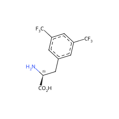 N[C@@H](Cc1cc(C(F)(F)F)cc(C(F)(F)F)c1)C(=O)O